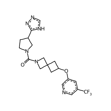 O=C(N1CCC(c2nnc[nH]2)C1)N1CC2(CC(Oc3cncc(C(F)(F)F)c3)C2)C1